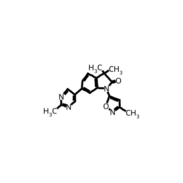 Cc1cc(N2C(=O)C(C)(C)c3ccc(-c4cnc(C)nc4)cc32)on1